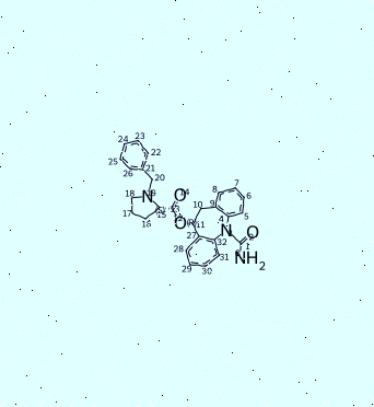 NC(=O)N1c2ccccc2C[C@@H](OC(=O)[C@@H]2CCCN2Cc2ccccc2)c2ccccc21